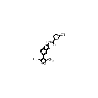 Cc1noc(C)c1-c1cc2nc(NC(=O)C3CCN(C#N)C3)sc2cn1